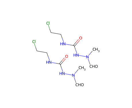 CN(C=O)NC(=O)NCCCl.CN(C=O)NC(=O)NCCCl